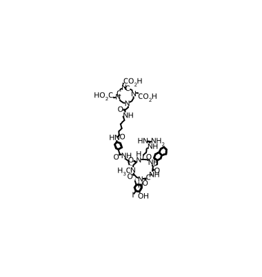 CN1C(=O)[C@@H](Cc2ccc(O)c(I)c2)NC(=O)CNC(=O)[C@H](Cc2ccc3ccccc3c2)NC(=O)[C@H](CCCNC(=N)N)NC(=O)[C@H]1CCCNC(=O)c1ccc(NC(=O)CCCCCNC(=O)CN2CCN(CC(=O)O)CCN(CC(=O)O)CCN(CC(=O)O)CC2)cc1